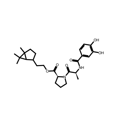 C[C@H](NC(=O)c1ccc(O)c(O)c1)C(=O)N1CCC[C@H]1C(=O)OCCC1CCC2(C)C1C2(C)C